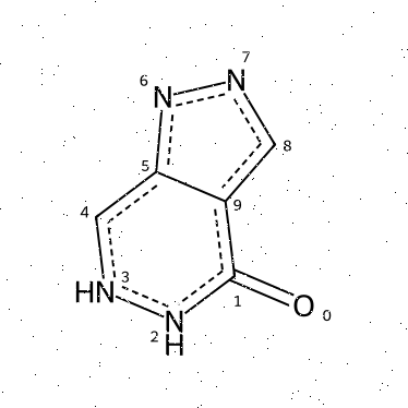 O=c1[nH][nH]cc2nncc1-2